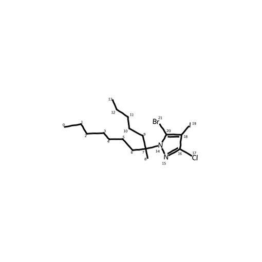 CCCCCCCC(C)(CCCCC)n1nc(Cl)c(I)c1Br